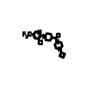 O=C(C1CCN(c2ncc(C(F)(F)F)cc2Cl)CC1)N1CCN(C2CCC2)CC1